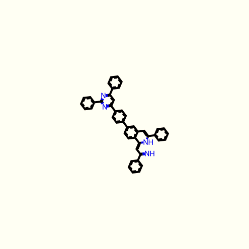 N=C(/C=C1\NC(c2ccccc2)=Cc2cc(-c3ccc(-c4cc(-c5ccccc5)nc(-c5ccccc5)n4)cc3)ccc21)c1ccccc1